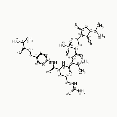 CC(C)C(=O)OCc1ccc(NC(=O)[C@H](CCCNC(N)=O)NC(=O)[C@@H](NC(=O)[C@@H](CCN2C(=O)CC(C(C)C)C2=O)S(=O)(=O)O)C(C)C)cc1